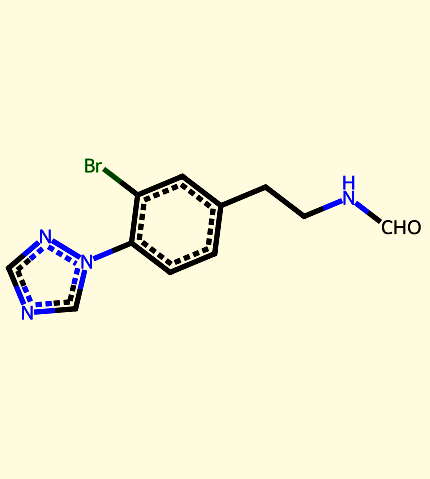 O=CNCCc1ccc(-n2cncn2)c(Br)c1